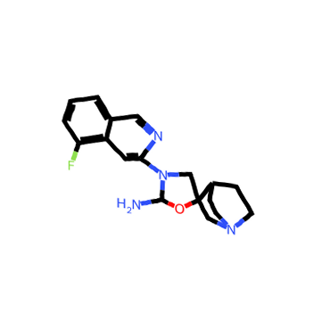 NC1OC2(CN3CCC2CC3)CN1c1cc2c(F)cccc2cn1